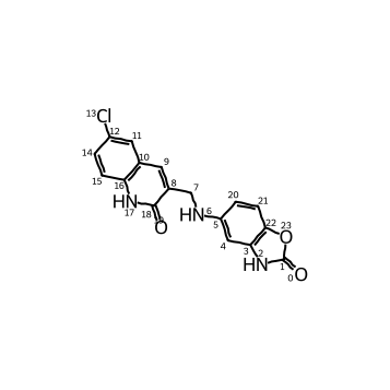 O=c1[nH]c2cc(NCc3cc4cc(Cl)ccc4[nH]c3=O)ccc2o1